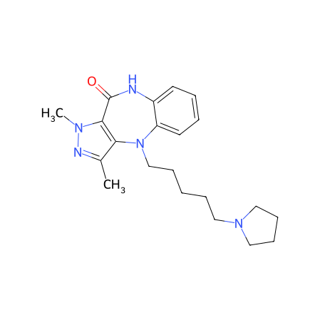 Cc1nn(C)c2c1N(CCCCCN1CCCC1)c1ccccc1NC2=O